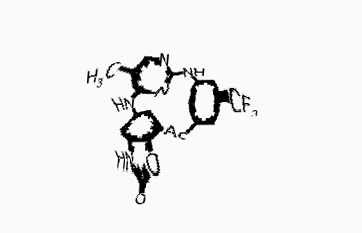 CC(=O)c1cc(Nc2ncc(C)c(Nc3ccc4oc(=O)[nH]c4c3)n2)cc(C(F)(F)F)c1